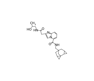 CC(O)CNC(=O)Cc1cn2c(C(=O)NCC34CC5CC5C5(CC5C3)C4)cccc2n1